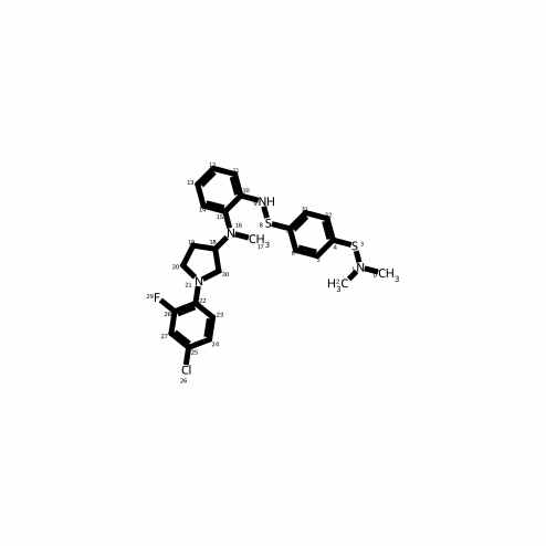 CN(C)Sc1ccc(SNc2ccccc2N(C)C2CCN(c3ccc(Cl)cc3F)C2)cc1